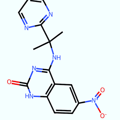 CC(C)(Nc1nc(=O)[nH]c2ccc([N+](=O)[O-])cc12)c1ncccn1